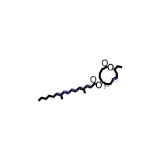 CCCCC/C=C(C)/C=C/C=C/C=C(C)/C=C/C(=O)OC1CCCC(=O)OC(CC)C/C=C/C[C@@H]1C